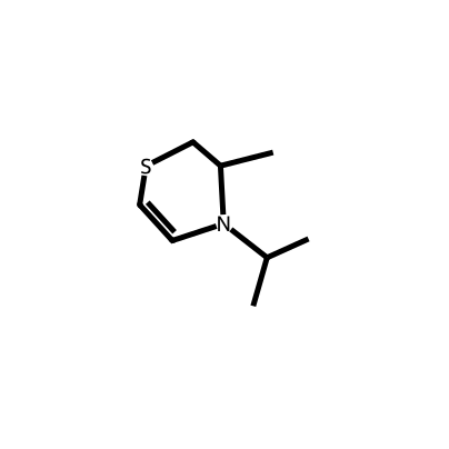 CC(C)N1C=CSCC1C